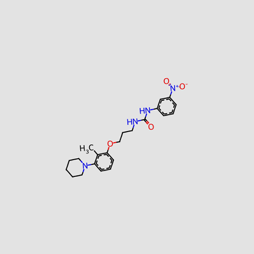 Cc1c(OCCCNC(=O)Nc2cccc([N+](=O)[O-])c2)cccc1N1CCCCC1